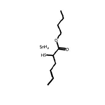 CCCCOC(=O)C(S)CCCC.[SnH4]